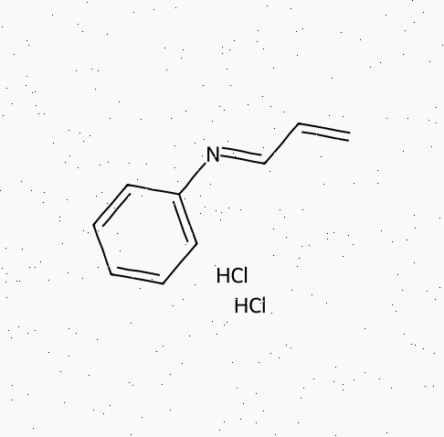 C=CC=Nc1ccccc1.Cl.Cl